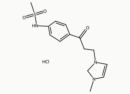 CN1C=CN(CCC(=O)c2ccc(NS(C)(=O)=O)cc2)C1.Cl